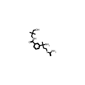 C=C(N)SCCC(C)(N)c1cccc(C(=O)NCC(C)(C)CO)c1